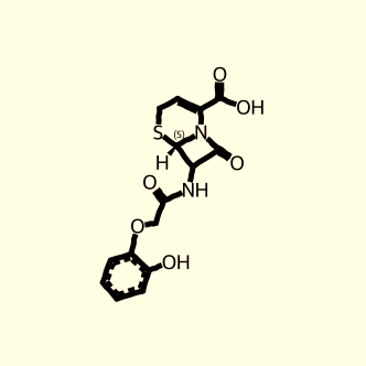 O=C(COc1ccccc1O)NC1C(=O)N2C(C(=O)O)=CCS[C@@H]12